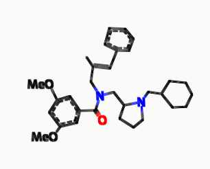 COc1cc(OC)cc(C(=O)N(CC(C)=Cc2ccccc2)CC2CCCN2CC2CCCCC2)c1